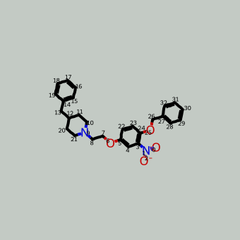 O=[N+]([O-])c1cc(OCCN2CCC(Cc3ccccc3)CC2)ccc1OCc1ccccc1